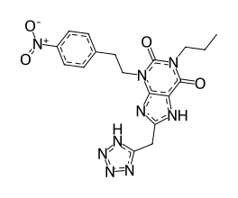 CCCn1c(=O)c2[nH]c(Cc3nnn[nH]3)nc2n(CCc2ccc([N+](=O)[O-])cc2)c1=O